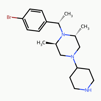 C[C@@H]1CN(C2CCNCC2)C[C@@H](C)N1[C@@H](C)c1ccc(Br)cc1